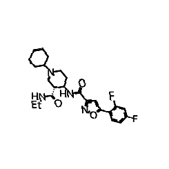 CCNC(=O)[C@@H]1CN(C2CCCCC2)CC[C@H]1NC(=O)c1cc(-c2ccc(F)cc2F)on1